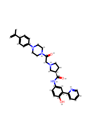 C=C(C)c1ccc(N2CCN(C(=O)CN3CC[C@@H](C(=O)Nc4ccc(O)c(-c5ccccn5)c4)C3)CC2)cc1